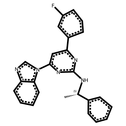 C[C@H](Nc1nc(-c2cccc(F)c2)cc(-n2cnc3ccccc32)n1)c1ccccc1